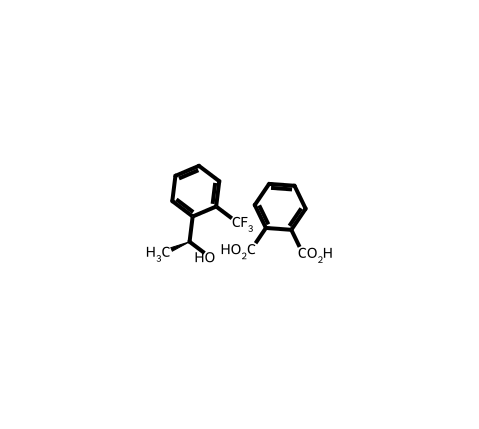 C[C@H](O)c1ccccc1C(F)(F)F.O=C(O)c1ccccc1C(=O)O